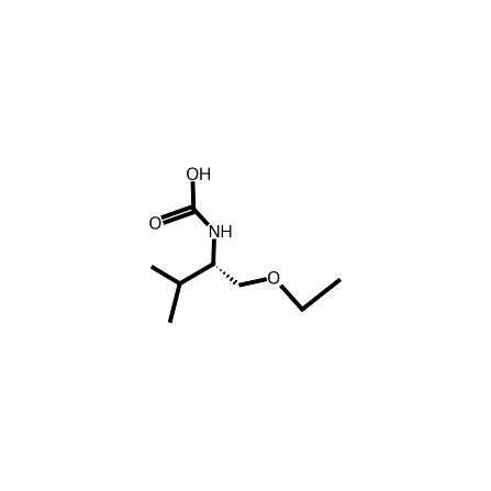 CCOC[C@@H](NC(=O)O)C(C)C